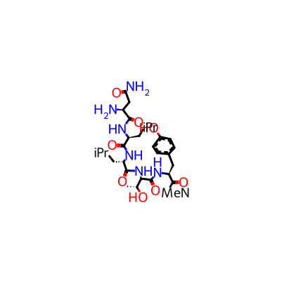 CNC(=O)[C@H](Cc1ccc(O)cc1)NC(=O)[C@@H](NC(=O)[C@H](CC(C)C)NC(=O)[C@H](CC(C)C)NC(=O)[C@@H](N)CC(N)=O)[C@@H](C)O